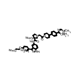 C=C(/C=C\C(=C/N)c1n[nH]c2ccc(NC(=O)[C@]3(OC)CCN(CC(=O)N4CC=C(c5ccc(C(=C)/N=C\N(C)N)cc5)CC4)C3)cc12)OCCOC